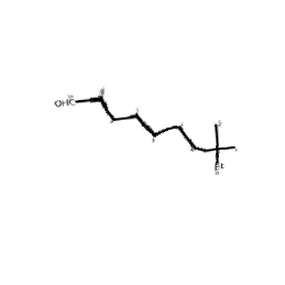 CCC(C)(C)CCCCCCC=O